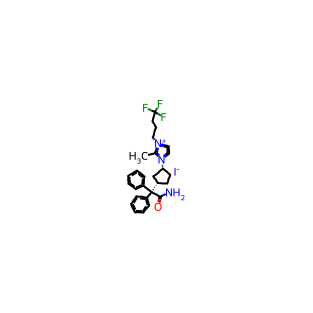 Cc1n([C@@H]2CC[C@H](C(C(N)=O)(c3ccccc3)c3ccccc3)C2)cc[n+]1CCCC(F)(F)F.[I-]